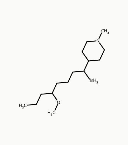 CCCC(CCC[CH]([InH2])C1CCN(C)CC1)OC